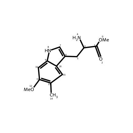 COC(=O)C(N)Cc1c[nH]c2cc(OC)c(C)cc12